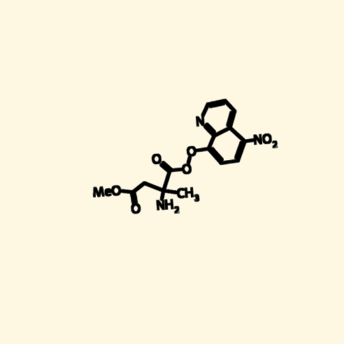 COC(=O)CC(C)(N)C(=O)OOc1ccc([N+](=O)[O-])c2cccnc12